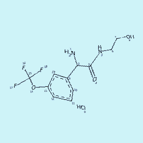 Cl.NC(C(=O)NCCO)c1cccc(OC(F)(F)F)c1